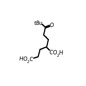 CC(C)(C)C(=O)CCC(CCC(=O)O)C(=O)O